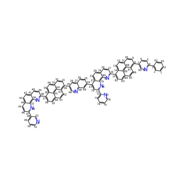 c1ccc(-c2ccc(-c3ccc4ccc5c(-c6ccc7ccc8c(-c9ccc%10cc(-c%11ccc%12ccc%13c(-c%14ccc%15ccc%16ccc(-c%17cccnc%17)nc%16c%15n%14)ccc%14ccc%11c%12c%14%13)cnc%10c9)cc(-c9ccccn9)nc8c7n6)ccc6ccc3c4c65)cn2)cc1